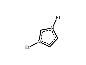 CCn1cc[n+](CC)c1